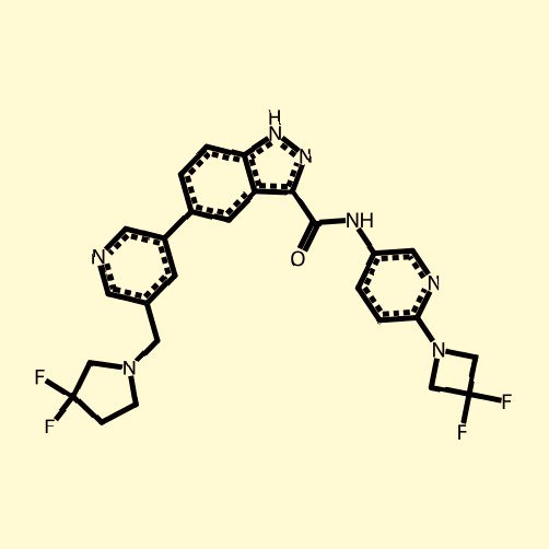 O=C(Nc1ccc(N2CC(F)(F)C2)nc1)c1n[nH]c2ccc(-c3cncc(CN4CCC(F)(F)C4)c3)cc12